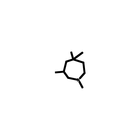 CC1CN(C)CCC(C)(C)C1